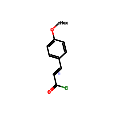 CCCCCCOc1ccc(/C=C/C(=O)Cl)cc1